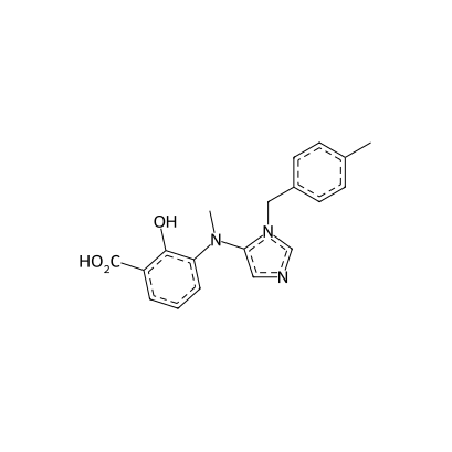 Cc1ccc(Cn2cncc2N(C)c2cccc(C(=O)O)c2O)cc1